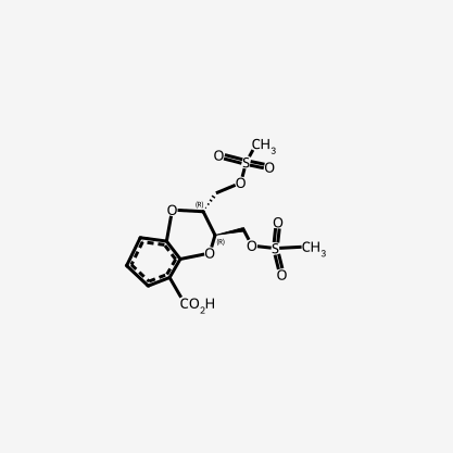 CS(=O)(=O)OC[C@H]1Oc2cccc(C(=O)O)c2O[C@@H]1COS(C)(=O)=O